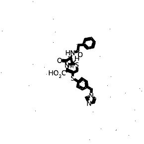 O=C(Cc1ccccc1)N[C@@H]1C(=O)N2C(C(=O)O)=C(Sc3ccc(Cn4ccnc4)cc3)CS[C@H]12